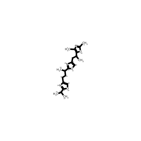 Cc1nc(C)c(C(C)Cc2coc(C(C)CCc3coc(C(C)C)n3)n2)o1